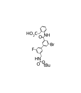 CC(C)(C)OC(=O)NCc1cc(F)cc(-c2cc(Br)cc(C(=O)Nc3ccccc3CC(=O)O)c2)c1